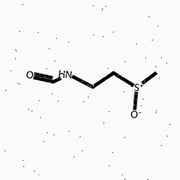 C[S+]([O-])CCNC=O